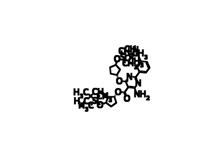 CC(C)(C)[Si](C)(C)O[C@@H]1CC[C@@H](OC(=O)c2c(N)nc(-c3cccc(C#N)c3)nc2O[C@@H]2CC[C@@H](O[Si](C)(C)C(C)(C)C)C2)C1